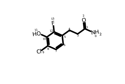 NC(=O)C[CH]c1ccc(Cl)c(O)c1F